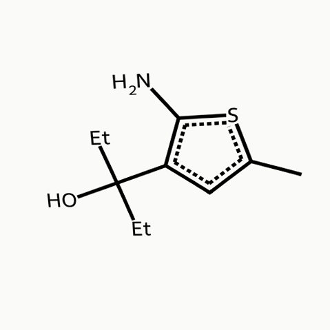 CCC(O)(CC)c1cc(C)sc1N